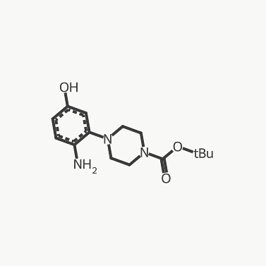 CC(C)(C)OC(=O)N1CCN(c2cc(O)ccc2N)CC1